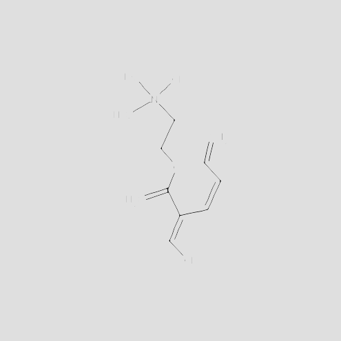 C=C/C=C\C(=C/C)C(=C)OCC[N+](C)(C)C